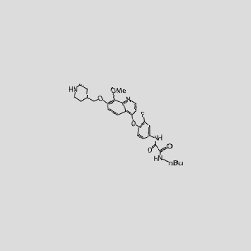 CCCCNC(=O)C(=O)Nc1ccc(Oc2ccnc3c(OC)c(OCC4CCNCC4)ccc23)c(F)c1